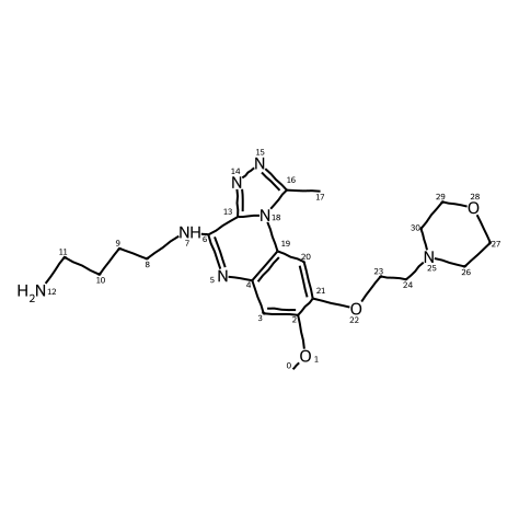 COc1cc2nc(NCCCCN)c3nnc(C)n3c2cc1OCCN1CCOCC1